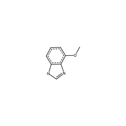 COc1cccc2c1N=C[N]2